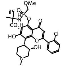 COCP(=O)(NC(C)(C(=O)O)C(C)C)Oc1cc(O)c([C@@H]2CCN(C)C[C@@H]2O)c2oc(-c3ccccc3Cl)cc(=O)c12